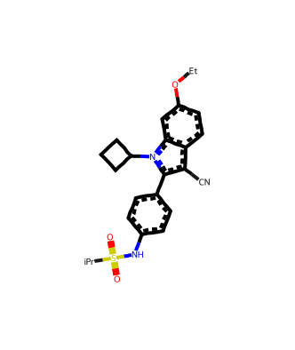 CCOc1ccc2c(C#N)c(-c3ccc(NS(=O)(=O)C(C)C)cc3)n(C3CCC3)c2c1